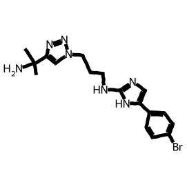 CC(C)(N)c1cn(CCCNc2ncc(-c3ccc(Br)cc3)[nH]2)nn1